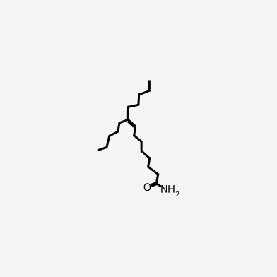 CCCCCC(=CCCCCCCC(N)=O)CCCCC